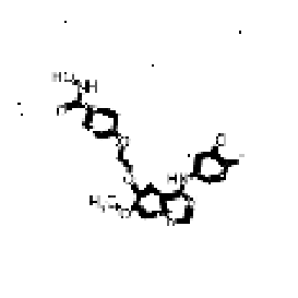 COc1cc2ncnc(Nc3ccc(F)c(Cl)c3)c2cc1OCCOc1ccc(C(=O)NO)cc1